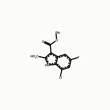 CC(C)(C)OC(=O)c1c(C(=O)O)[nH]c2c(Cl)cc(F)cc12